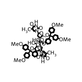 COc1ccc(C(OC[C@H]2O[C@@H](n3cc(C)c(=O)[nH]c3=O)C[C@]2(O)OP(=O)(OC(O)[C@H]2O[C@@H](n3cc(C)c(=O)[nH]c3=O)C[C@@H]2OC(c2ccccc2)(c2ccc(OC)cc2)c2ccc(OC)cc2)SCCSC(C)=O)(c2ccccc2)c2ccc(OC)cc2)cc1